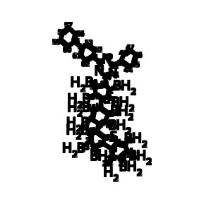 Bc1c(B)c(-c2c(B)c(B)c(-c3c(B)c(B)c(B)c4c3sc3c(B)c(B)c(B)c(B)c34)c(B)c2B)c(B)c(B)c1-c1nc(-c2ccccc2)nc(-c2ccc(-c3ccccc3)cc2)n1